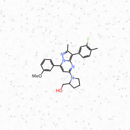 COc1cccc(-c2cc(N3CCCC3CO)nc3c(-c4ccc(C)c(F)c4)c(C)nn23)c1